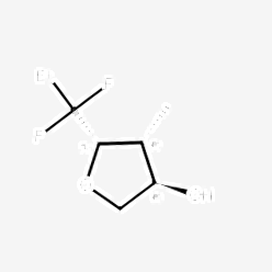 CCC(F)(F)[C@H]1OC[C@H](O)[C@H]1C